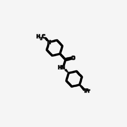 CC(C)[C@H]1CC[C@H](NC(=O)C2CCN(C)CC2)CC1